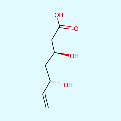 C=C[C@@H](O)C[C@H](O)CC(=O)O